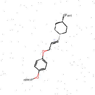 CCCCCCCOc1ccc(OC/C=C/[C@H]2CC[C@H](CCCCC)CC2)cc1